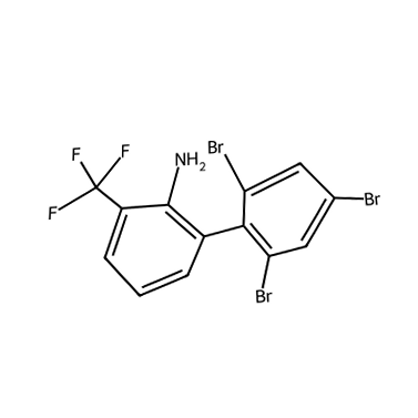 Nc1c(-c2c(Br)cc(Br)cc2Br)cccc1C(F)(F)F